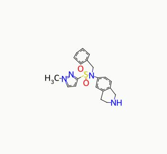 Cn1ccc(S(=O)(=O)N(Cc2ccccc2)c2ccc3c(c2)CCNC3)n1